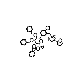 OC1([C@H]2OC(c3ccc(Cl)c(Cc4ncc(-c5ccco5)s4)c3)C(OCc3ccccc3)[C@@H](OCc3ccccc3)[C@@H]2OCc2ccccc2)CC1